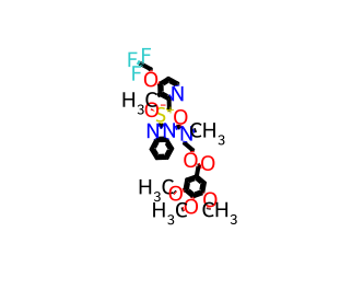 COc1cc(C(=O)OCCN(C)C(=O)n2c([S@+]([O-])Cc3nccc(OCC(F)(F)F)c3C)nc3ccccc32)cc(OC)c1OC